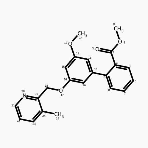 COC(=O)c1ccccc1-c1cc(OC)cc(OCc2ncccc2C)c1